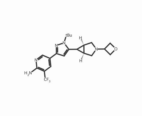 CC(C)(C)n1nc(-c2cnc(N)c(C(F)(F)F)c2)cc1C1[C@H]2CN(C3COC3)C[C@@H]12